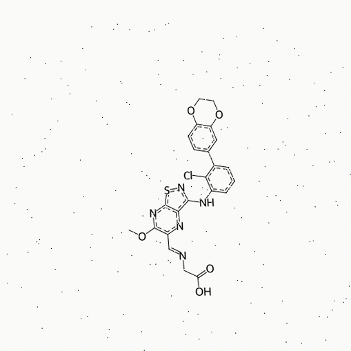 COc1nc2snc(Nc3cccc(-c4ccc5c(c4)OCCO5)c3Cl)c2nc1C=NCC(=O)O